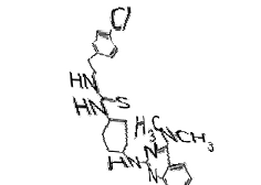 CN(C)c1nc(NC2CCC(NC(=S)NCCc3ccc(Cl)cc3)CC2)nc2ccccc12